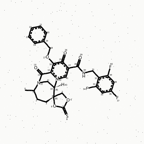 CC1CC[C@]2(COC(=S)O2)[C@H]2CN1C(=O)c1c(OCc3ccccc3)c(=O)c(C(=O)NCc3c(F)cc(F)cc3F)cn12